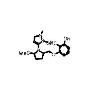 COC1CCC(COc2cccc(O)c2C=O)N1C1=CCN(C)N1C(C)C